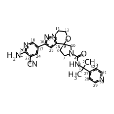 CC(C)(NC(=O)N1CC[C@]2(C1)OCCn1nc(-c3cnc(N)c(C#N)c3)cc12)c1ccncc1